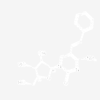 Nc1nc(=O)n([C@@H]2O[C@H](CO)C(O)C2O)cc1C=Cc1ccccc1